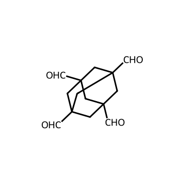 O=CC12CC3(C=O)CC(C=O)(C1)CC(C=O)(C2)C3